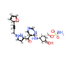 NS(=O)(=O)OC[C@H]1CC(Nc2ncncc2C(=O)c2ccn(CC#Cc3ccco3)n2)C[C@@H]1O